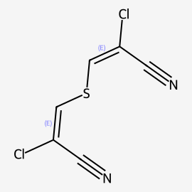 N#C/C(Cl)=C\S/C=C(/Cl)C#N